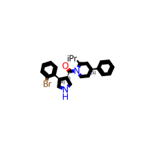 CC(C)[C@H]1C[C@@H](c2ccccc2)CCN1C(=O)[C@@H]1CNC[C@H]1c1ccccc1Br